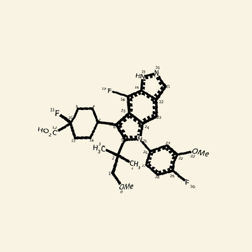 COCC(C)(C)c1c(C2CCC(F)(C(=O)O)CC2)c2c(F)c3[nH]ncc3cc2n1-c1ccc(F)c(OC)c1